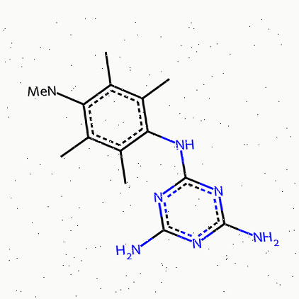 CNc1c(C)c(C)c(Nc2nc(N)nc(N)n2)c(C)c1C